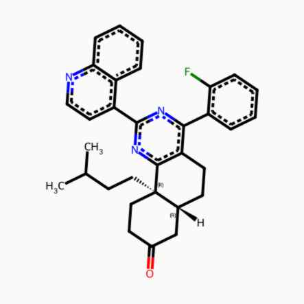 CC(C)CC[C@@]12CCC(=O)C[C@H]1CCc1c(-c3ccccc3F)nc(-c3ccnc4ccccc34)nc12